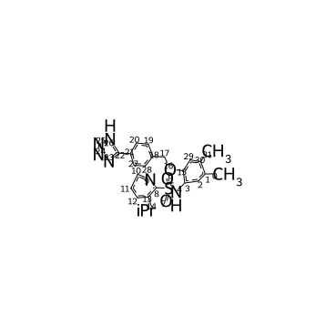 Cc1cc(NS(=O)(=O)c2ncccc2C(C)C)c(OCc2ccc(-c3nnn[nH]3)cc2)cc1C